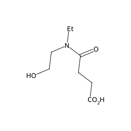 CCN(CCO)C(=O)CCC(=O)O